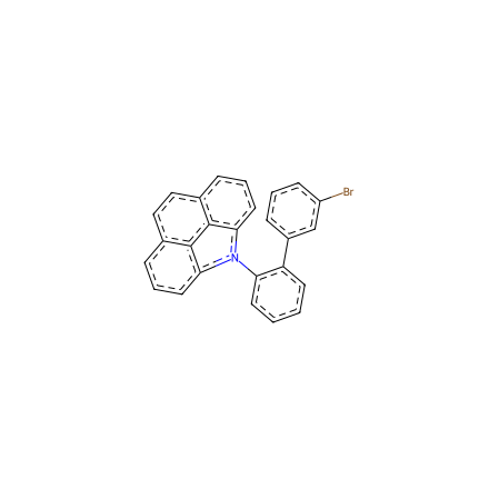 Brc1cccc(-c2ccccc2-n2c3cccc4ccc5cccc2c5c43)c1